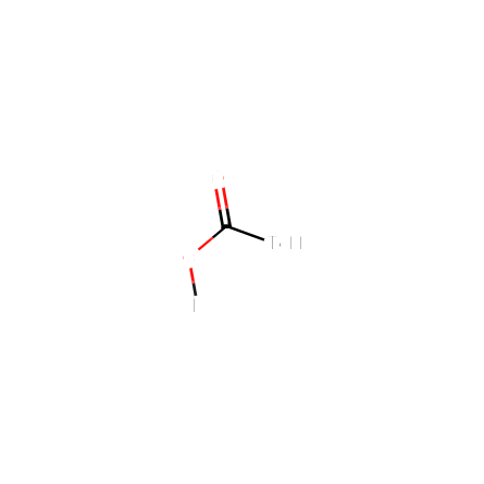 CCOC(=O)[TeH]